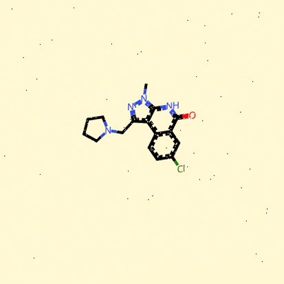 Cn1nc(CN2CCCC2)c2c3ccc(Cl)cc3c(=O)[nH]c21